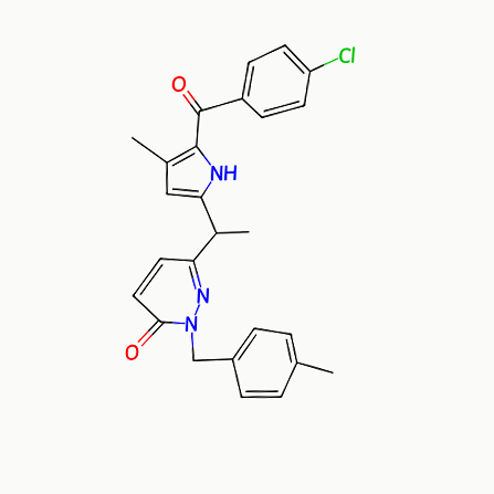 Cc1ccc(Cn2nc(C(C)c3cc(C)c(C(=O)c4ccc(Cl)cc4)[nH]3)ccc2=O)cc1